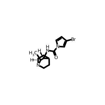 C[C@H]1[C@H](NC(=O)n2ccc(Br)c2)C2CCN1CC2